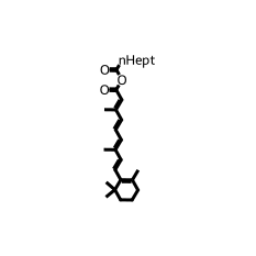 CCCCCCCC(=O)OC(=O)/C=C(C)/C=C/C=C(C)/C=C/C1=C(C)CCCC1(C)C